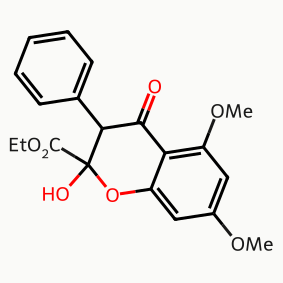 CCOC(=O)C1(O)Oc2cc(OC)cc(OC)c2C(=O)C1c1ccccc1